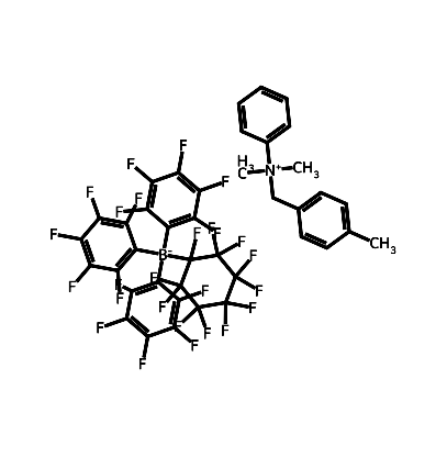 Cc1ccc(C[N+](C)(C)c2ccccc2)cc1.Fc1c(F)c(F)c([B-](c2c(F)c(F)c(F)c(F)c2F)(c2c(F)c(F)c(F)c(F)c2F)C2(F)C(F)(F)C(F)(F)C(F)(F)C(F)(F)C2(F)F)c(F)c1F